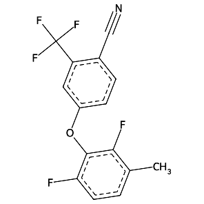 Cc1ccc(F)c(Oc2ccc(C#N)c(C(F)(F)F)c2)c1F